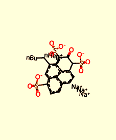 CCCCCCCC(CCCC)c1cc2c(S(=O)(=O)[O-])ccc3ccc4c(c1=C(S(=O)(=O)[O-])C(=O)C4S(=O)(=O)[O-])c32.[Na+].[Na+].[Na+]